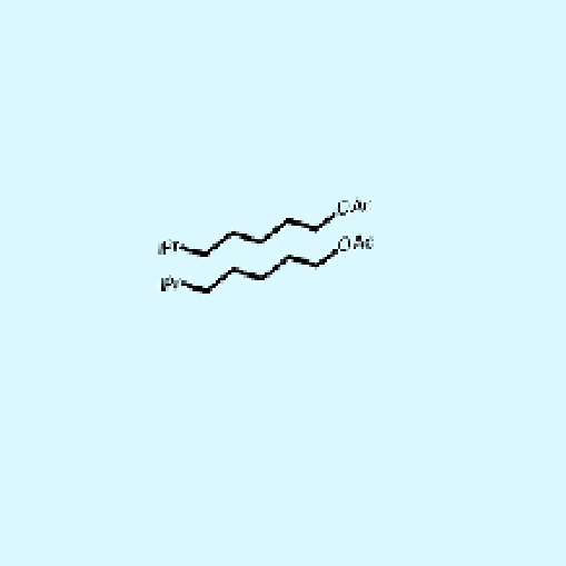 CC(=O)OCCCCCC(C)C.CC(=O)OCCCCCC(C)C